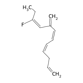 C=CC/C=C\C=C/C(=C)/C=C(/F)CC